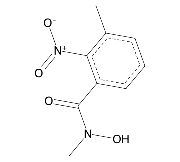 Cc1cccc(C(=O)N(C)O)c1[N+](=O)[O-]